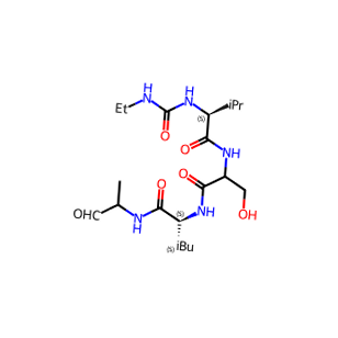 CCNC(=O)N[C@H](C(=O)NC(CO)C(=O)N[C@H](C(=O)NC(C)C=O)[C@@H](C)CC)C(C)C